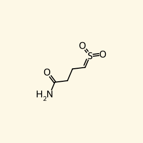 NC(=O)CCC=S(=O)=O